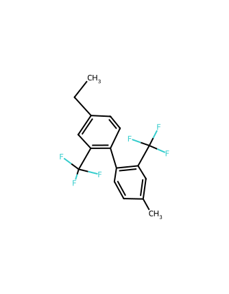 CCc1ccc(-c2ccc(C)cc2C(F)(F)F)c(C(F)(F)F)c1